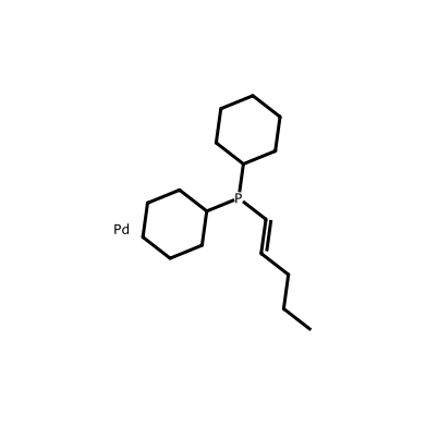 CCCC=CP(C1CCCCC1)C1CCCCC1.[Pd]